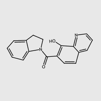 O=C(c1ccc2cccnc2c1O)N1CCc2ccccc21